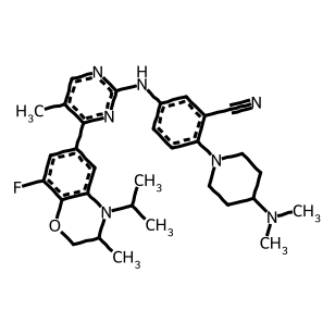 Cc1cnc(Nc2ccc(N3CCC(N(C)C)CC3)c(C#N)c2)nc1-c1cc(F)c2c(c1)N(C(C)C)C(C)CO2